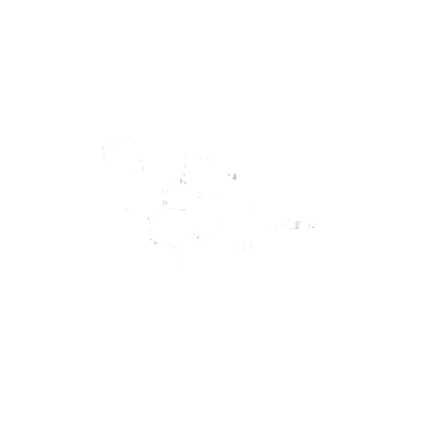 Cn1c(=O)c2c(-c3ccccc3)n3c(c2n(C)c1=O)C(c1cccc(C#N)c1)NCC3